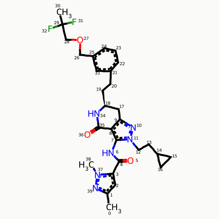 Cc1cc(C(=O)Nc2c3c(nn2CCC2CC2)C[C@H](CCc2cccc(COCC(C)(F)F)c2)NC3=O)n(C)n1